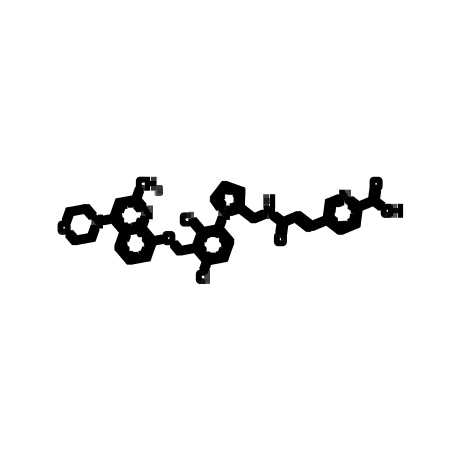 Cc1cc(N2CCOCC2)c2cccc(OCc3c(Cl)ccc(-n4cccc4CNC(=O)C=Cc4ccc(C(=O)O)nc4)c3Cl)c2n1